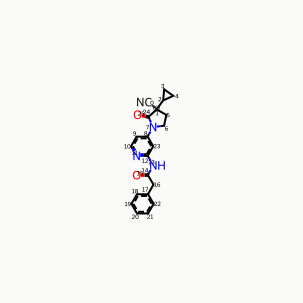 N#C[C@@]1(C2CC2)CCN(c2ccnc(NC(=O)Cc3ccccc3)c2)C1=O